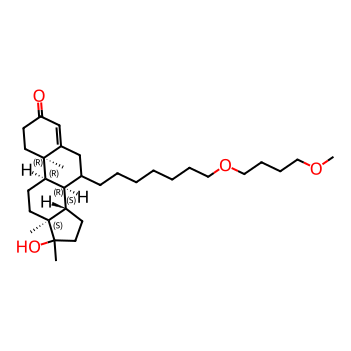 COCCCCOCCCCCCCC1CC2=CC(=O)CC[C@]2(C)[C@@H]2CC[C@@]3(C)[C@@H](CCC3(C)O)[C@H]12